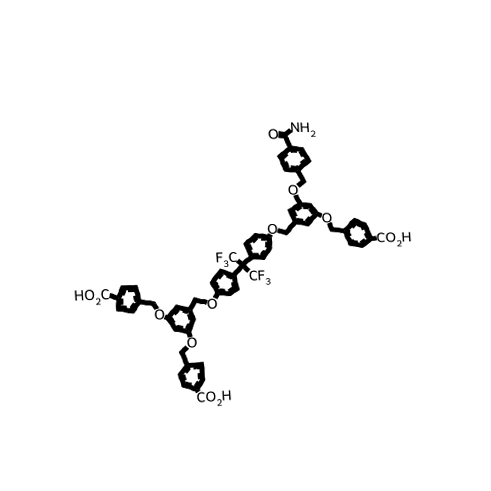 NC(=O)c1ccc(COc2cc(COc3ccc(C(c4ccc(OCc5cc(OCc6ccc(C(=O)O)cc6)cc(OCc6ccc(C(=O)O)cc6)c5)cc4)(C(F)(F)F)C(F)(F)F)cc3)cc(OCc3ccc(C(=O)O)cc3)c2)cc1